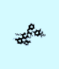 COc1cn(C(Cc2ccccc2)C(=O)Nc2ccc(P(C)(C)=O)c(C)c2)c(=O)cc1-c1cc(Cl)ccc1-n1cc(Cl)nn1